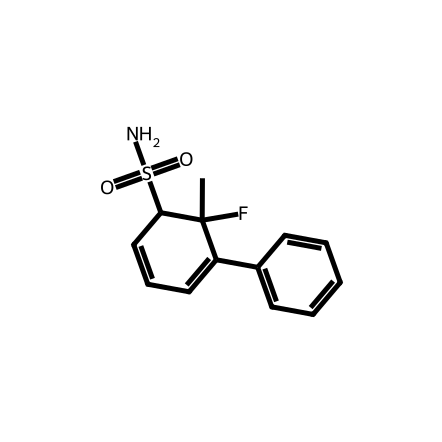 CC1(F)C(c2ccccc2)=CC=CC1S(N)(=O)=O